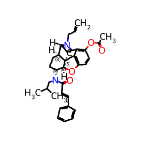 C=CCN1CC[C@@]23c4c5ccc(OC(C)=O)c4C[C@@H]1[C@@H]2CC[C@@H](N(CC(C)C)C(=O)C=Cc1ccccc1)[C@@H]3O5